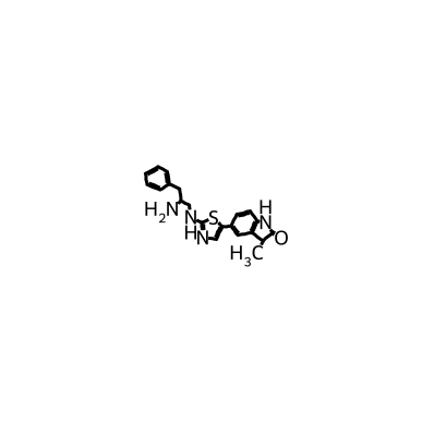 CC1C(=O)Nc2ccc(-c3cnc(NCC(N)Cc4ccccc4)s3)cc21